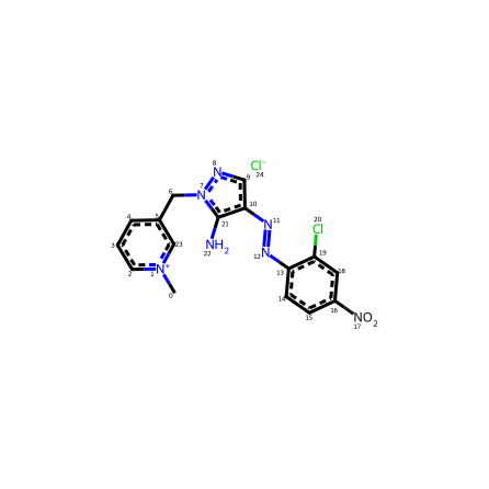 C[n+]1cccc(Cn2ncc(N=Nc3ccc([N+](=O)[O-])cc3Cl)c2N)c1.[Cl-]